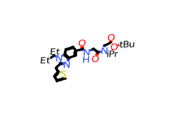 CCC(CC)n1c(Cc2cccs2)nc2cc(C(=O)NCC(=O)N(CC(=O)OC(C)(C)C)C(C)C)ccc21